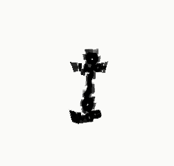 COC(=O)c1ccc(C=CCCC(N)[C@H](O)c2ccccc2)cc1